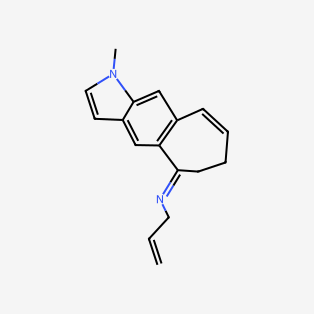 C=CCN=C1CCC=Cc2cc3c(ccn3C)cc21